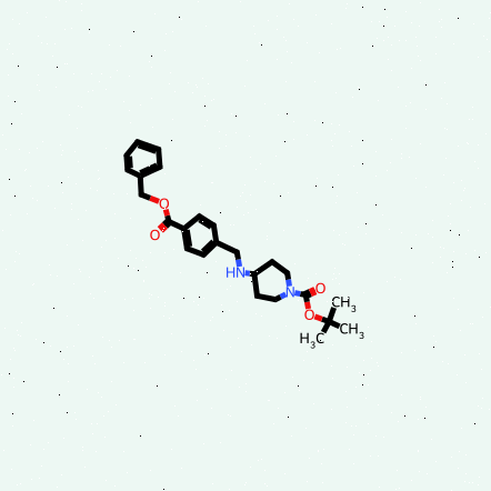 CC(C)(C)OC(=O)N1CCC(NCc2ccc(C(=O)OCc3ccccc3)cc2)CC1